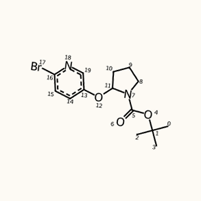 CC(C)(C)OC(=O)N1CCCC1Oc1ccc(Br)nc1